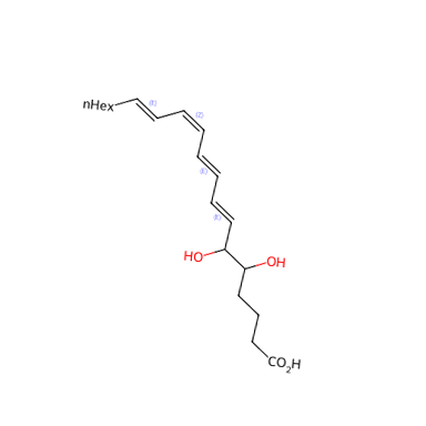 CCCCCC/C=C/C=C\C=C\C=C\C(O)C(O)CCCC(=O)O